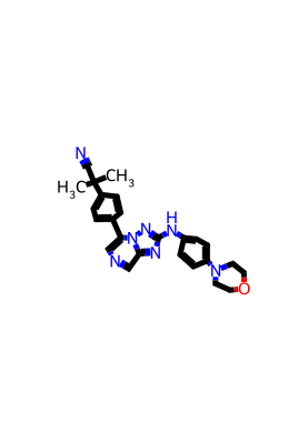 CC(C)(C#N)c1ccc(-c2cncc3nc(Nc4ccc(N5CCOCC5)cc4)nn23)cc1